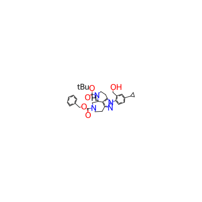 CC(C)(C)OC(=O)N1CCc2c3c(nn2-c2ccc(C4CC4)cc2CO)CCN(C(=O)OCc2ccccc2)C[C@@H]31